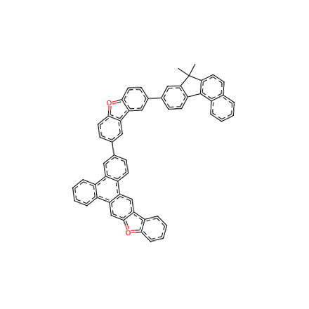 CC1(C)c2cc(-c3ccc4oc5ccc(-c6ccc7c(c6)c6ccccc6c6cc8oc9ccccc9c8cc76)cc5c4c3)ccc2-c2c1ccc1ccccc21